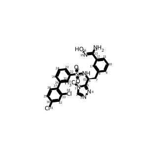 Cn1cnnc1[C@H](Cc1cccc(C(N)=NO)c1)NS(=O)(=O)c1cccc(-c2ccc(Cl)cc2Cl)c1